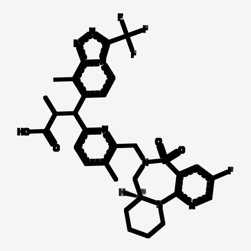 Cc1ccc(C(c2ccn3c(C(F)(F)F)nnc3c2C)C(C)C(=O)O)nc1CN1C[C@@H]2CCCCN2c2ncc(F)cc2S1(=O)=O